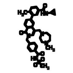 Cc1ccc(C(=O)NC2CC2)cc1-c1ccc2c(=O)n(Cc3ccc(C(=O)NS(C)(=O)=O)cc3)cc(CN3CCCN(C)CC3)c2c1